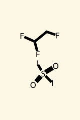 FCC(F)F.O=S(=O)(I)I